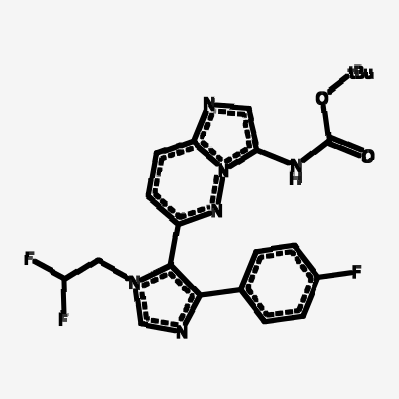 CC(C)(C)OC(=O)Nc1cnc2ccc(-c3c(-c4ccc(F)cc4)ncn3CC(F)F)nn12